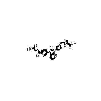 Cn1c(C(=O)O)cnc1CN1CC[C@H](n2c(=O)n(-c3ccc(C(=O)NCC(=O)O)nc3)c3cccnc32)C1